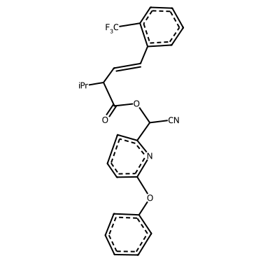 CC(C)C(C=Cc1ccccc1C(F)(F)F)C(=O)OC(C#N)c1cccc(Oc2ccccc2)n1